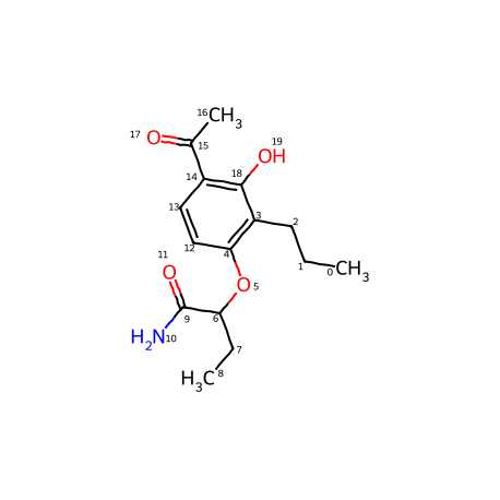 CCCc1c(OC(CC)C(N)=O)ccc(C(C)=O)c1O